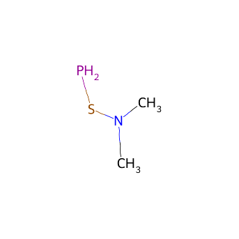 CN(C)SP